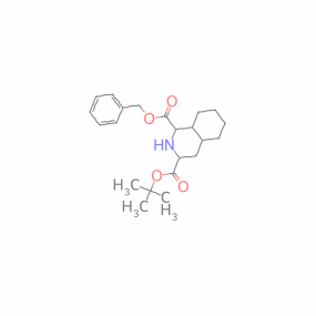 CC(C)(C)OC(=O)C1CC2CCCCC2C(C(=O)OCc2ccccc2)N1